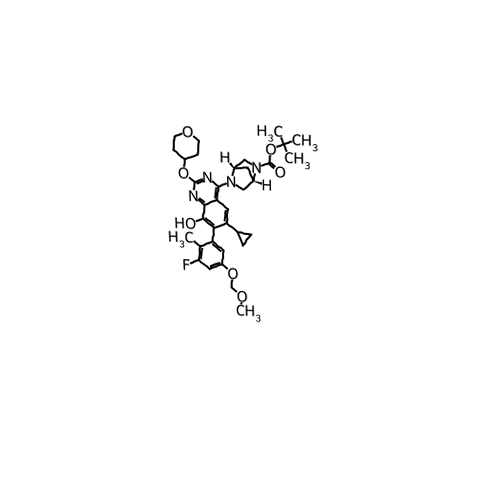 COCOc1cc(F)c(C)c(-c2c(C3CC3)cc3c(N4C[C@@H]5C[C@H]4CN5C(=O)OC(C)(C)C)nc(OC4CCOCC4)nc3c2O)c1